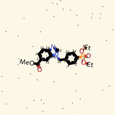 CCOP(=O)(OCC)c1ccc(Cn2cnc3ccc(C(=O)OC)cc32)cc1